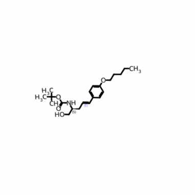 CCCCCOc1ccc(/C=C/C[C@@H](CO)NC(=O)OC(C)(C)C)cc1